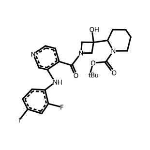 CC(C)(C)OC(=O)N1CCCCC1C1(O)CN(C(=O)c2ccncc2Nc2ccc(I)cc2F)C1